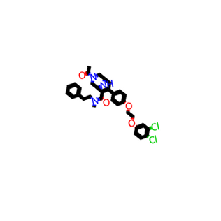 CC(=O)N1CC2CC(c3ccc(OCCOc4ccc(Cl)c(Cl)c4)cc3)=C(C(=O)N(C)CCc3ccccc3)C(C1)N2